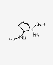 CNC1CC[C@@H]1N(C)C